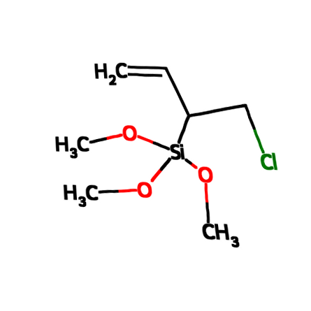 C=CC(CCl)[Si](OC)(OC)OC